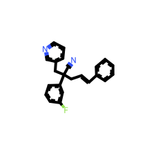 N#CC(CC=Cc1ccccc1)(Cc1cccnc1)c1cccc(F)c1